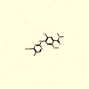 CNc1nc(Nc2cc(OC)c(C(=O)N(C)C)cc2Cl)ncc1C